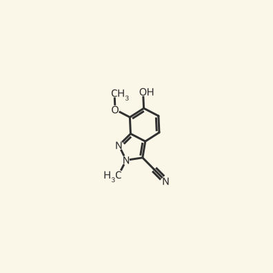 COc1c(O)ccc2c(C#N)n(C)nc12